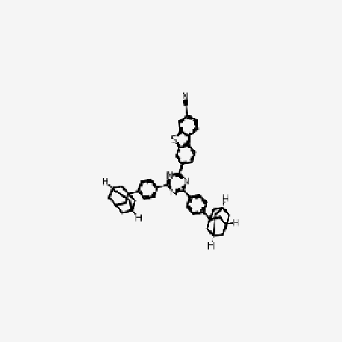 N#Cc1ccc2c(c1)sc1cc(-c3nc(-c4ccc(C56CC7C[C@H](C5)C[C@@H](C7)C6)cc4)nc(-c4ccc(C56C[C@H]7C[C@@H](C5)C[C@@H](C6)C7)cc4)n3)ccc12